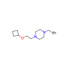 CC(C)CN1CCN(CCOC2CCC2)CC1